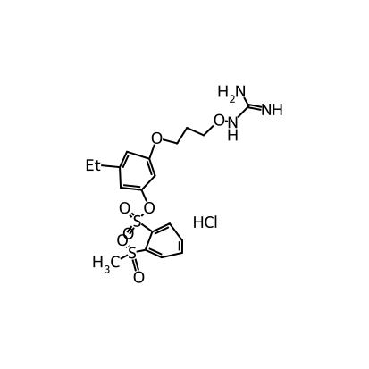 CCc1cc(OCCCONC(=N)N)cc(OS(=O)(=O)c2ccccc2S(C)(=O)=O)c1.Cl